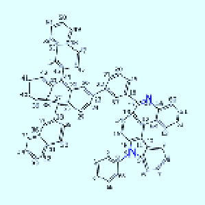 c1ccc(-n2c3ccccc3c3c4c(ccc32)c(-c2cccc(-c3ccc5c(-c6ccc7ccccc7c6)c6ccccc6c(-c6ccc7ccccc7c6)c5c3)c2)nc2ccccc24)cc1